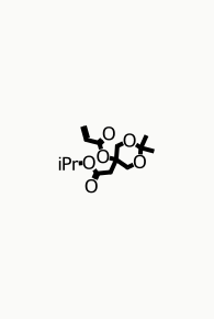 C=CC(=O)OC1(CC(=O)OC(C)C)COC(C)(C)OC1